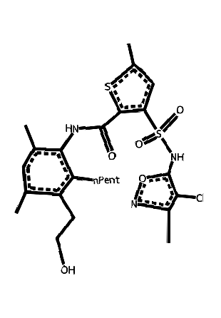 CCCCCc1c(CCO)c(C)cc(C)c1NC(=O)c1sc(C)cc1S(=O)(=O)Nc1onc(C)c1Cl